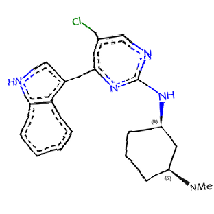 CN[C@H]1CCC[C@@H](Nc2ncc(Cl)c(-c3c[nH]c4ccccc34)n2)C1